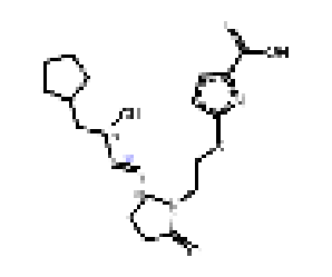 O=C(O)c1csc(SCCN2C(=O)CC[C@@H]2/C=C/[C@@H](O)CC2CCCC2)n1